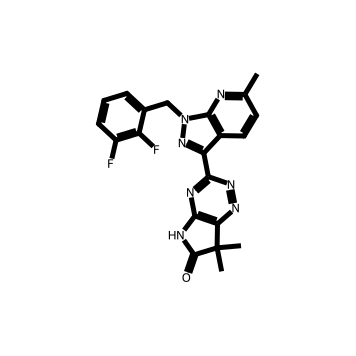 Cc1ccc2c(-c3nnc4c(n3)NC(=O)C4(C)C)nn(Cc3cccc(F)c3F)c2n1